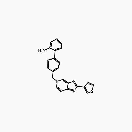 Nc1ccccc1-c1ccc(Cn2ccc3nc(-c4ccsc4)nc-3c2)cc1